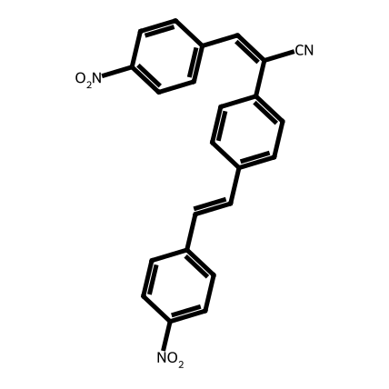 N#CC(=Cc1ccc([N+](=O)[O-])cc1)c1ccc(C=Cc2ccc([N+](=O)[O-])cc2)cc1